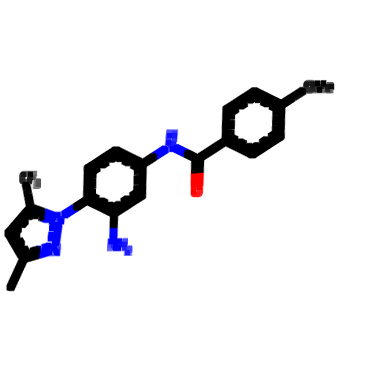 COc1ccc(C(=O)Nc2ccc(-n3nc(C)cc3C(F)(F)F)c(N)c2)cc1